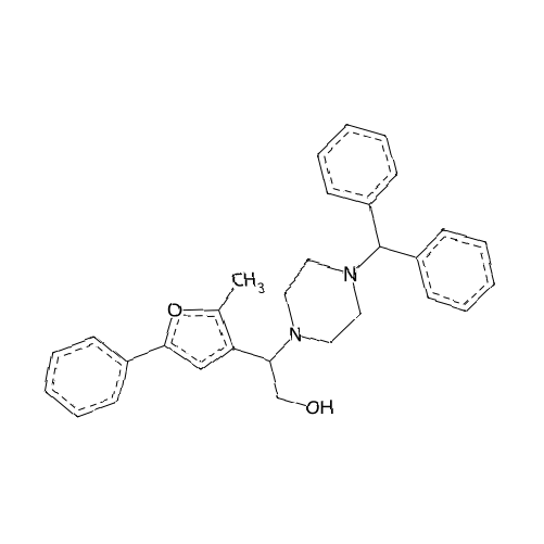 Cc1oc(-c2ccccc2)cc1C(CO)N1CCN(C(c2ccccc2)c2ccccc2)CC1